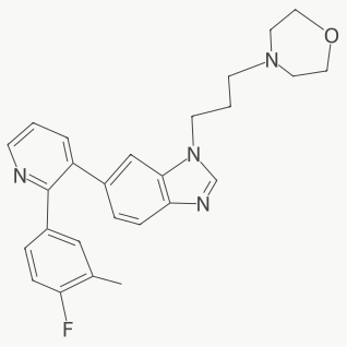 Cc1cc(-c2ncccc2-c2ccc3ncn(CCCN4CCOCC4)c3c2)ccc1F